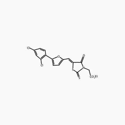 CCOC(=O)CN1C(=O)C(=Cc2ccc(-c3ccc(Cl)cc3Cl)o2)SC1=S